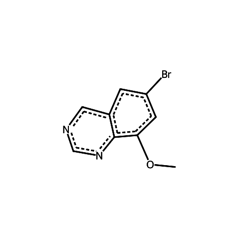 COc1cc(Br)cc2cncnc12